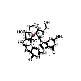 NC1=NC(=O)C2=NC(=O)N([C@]3(O[C@@]4(n5cnc6c(=O)[nH]c(N)nc65)O[C@H](CO)[C@@H](O)[C@H]4O)O[C@H](CO)[C@@H](O)C3O)C2=N1